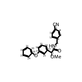 CO[C@H](C(=O)NCc1ccc(C#N)cc1)c1cccc(Oc2ccccc2)c1